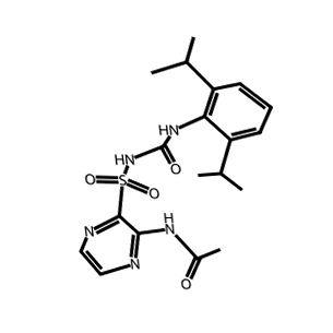 CC(=O)Nc1nccnc1S(=O)(=O)NC(=O)Nc1c(C(C)C)cccc1C(C)C